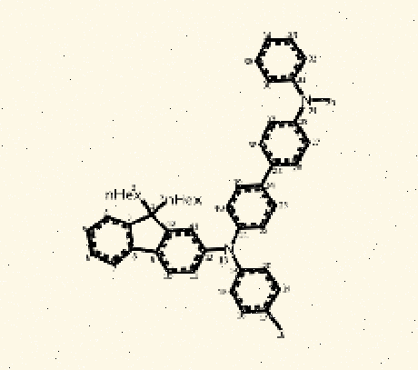 CCCCCCC1(CCCCCC)c2ccccc2-c2ccc(N(c3ccc(C)cc3)c3ccc(-c4ccc(N(C)c5ccccc5)cc4)cc3)cc21